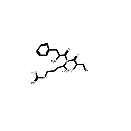 CC(C)CC(N)C(=O)N(C(=O)C(N)Cc1ccccc1)C(CCCNC(=N)N)C(=O)O